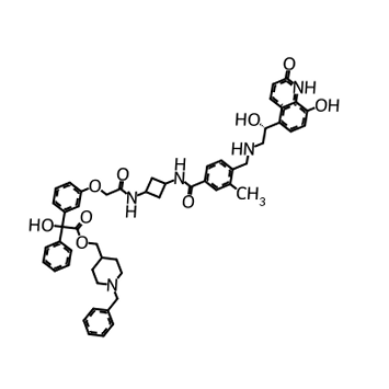 Cc1cc(C(=O)NC2CC(NC(=O)COc3cccc(C(O)(C(=O)OCC4CCN(Cc5ccccc5)CC4)c4ccccc4)c3)C2)ccc1CNC[C@H](O)c1ccc(O)c2[nH]c(=O)ccc12